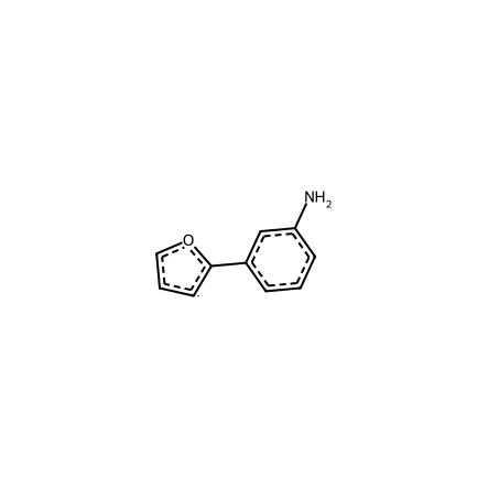 Nc1cccc(-c2[c]cco2)c1